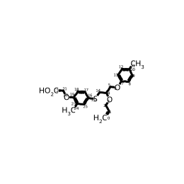 C=CCOC(COc1ccc(C)cc1)CSc1ccc(OCC(=O)O)c(C)c1